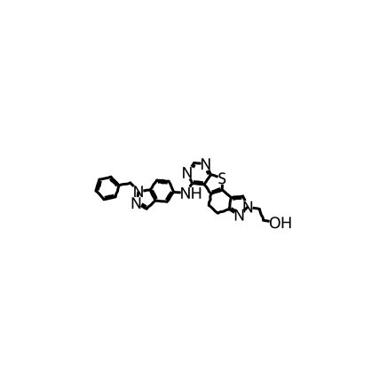 OCCn1cc2c(n1)CCc1c-2sc2ncnc(Nc3ccc4c(cnn4Cc4ccccc4)c3)c12